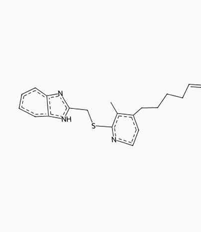 Cc1c(CCCCC=S)ccnc1SCc1nc2ccccc2[nH]1